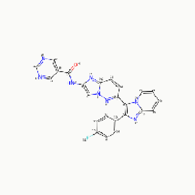 O=C(Nc1cn2nc(-c3c(-c4ccc(F)cc4)nc4ccccn34)ccc2n1)c1cncnc1